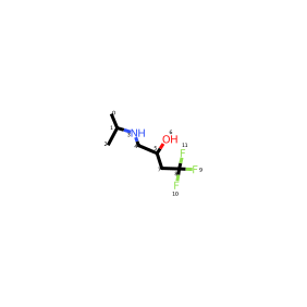 CC(C)NCC(O)CC(F)(F)F